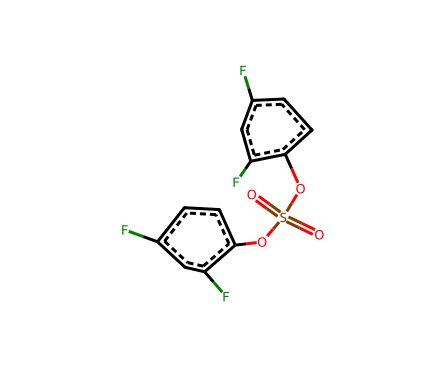 O=S(=O)(Oc1ccc(F)cc1F)Oc1ccc(F)cc1F